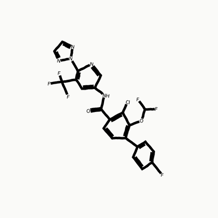 O=C(Nc1cnc(-n2nccn2)c(C(F)(F)F)c1)c1ccc(-c2ccc(F)cc2)c(OC(F)F)c1Cl